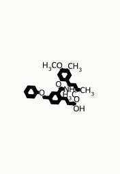 COc1ccc(C(CC(C)C)NC(=O)c2cc(COc3ccccc3)ccc2CCC(=O)O)cc1C